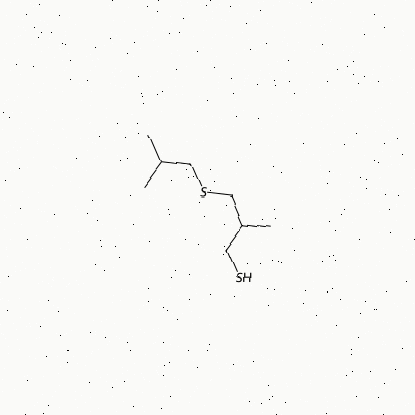 CC(C)CSCC(C)CS